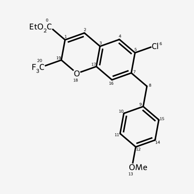 CCOC(=O)C1=Cc2cc(Cl)c(Cc3ccc(OC)cc3)cc2OC1C(F)(F)F